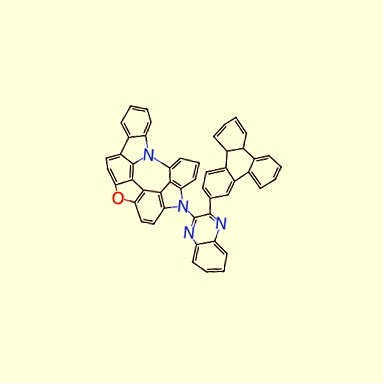 C1=CC2c3ccccc3-c3cc(-c4nc5ccccc5nc4-n4c5ccc6oc7ccc8c9ccccc9n9c%10cccc4c%10c5c6c7c89)ccc3C2C=C1